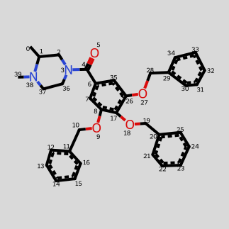 CC1CN(C(=O)c2cc(OCc3ccccc3)c(OCc3ccccc3)c(OCc3ccccc3)c2)CCN1C